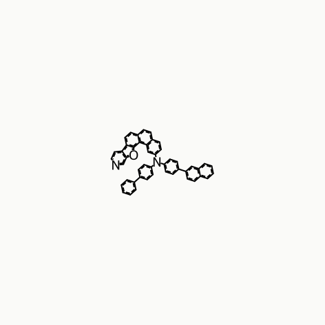 c1ccc(-c2ccc(N(c3ccc(-c4ccc5ccccc5c4)cc3)c3ccc4ccc5ccc6c7ccncc7oc6c5c4c3)cc2)cc1